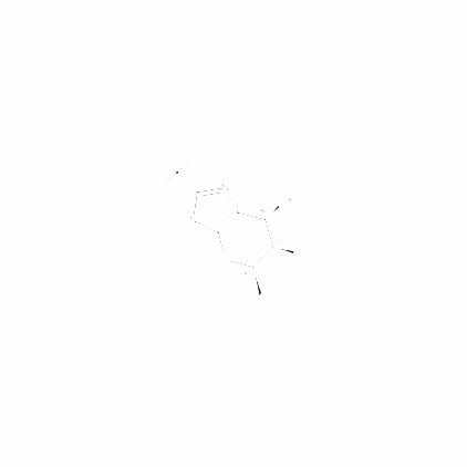 OC[C@H]1Oc2[nH]c(C(F)(F)F)nc2[C@@H](O)[C@H]1O